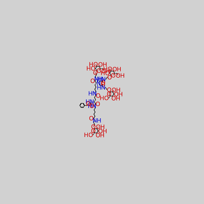 O=C(CCCCCNC(=O)[C@H](CCC(=O)NCCCC[C@@H](C(=O)NCCO[C@H]1O[C@H](CO)[C@@H](O)[C@H](O)[C@@H]1O)N(CC(=O)NCCO[C@H]1O[C@H](CO)[C@@H](O)[C@H](O)[C@@H]1O)CC(=O)NCCO[C@H]1O[C@H](CO)[C@@H](O)[C@H](O)[C@@H]1O)NC(=O)OCc1ccccc1)NCCO[C@H]1O[C@H](CO)[C@@H](O)[C@H](O)[C@@H]1O